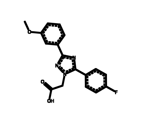 COc1cccc(-c2nc(-c3ccc(F)cc3)n(CC(=O)O)n2)c1